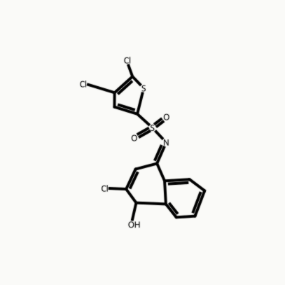 O=S(=O)(/N=C1\C=C(Cl)C(O)c2ccccc21)c1cc(Cl)c(Cl)s1